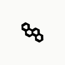 c1ccc2c(c1)ccc1c3ccccc3ccc21